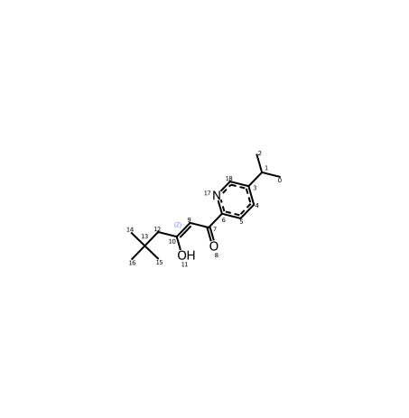 CC(C)c1ccc(C(=O)/C=C(\O)CC(C)(C)C)nc1